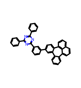 c1ccc(-c2nc(-c3ccccc3)nc(-c3cccc(-c4ccc5c(c4)-c4ccccc4-c4cccc6cccc-5c46)c3)n2)cc1